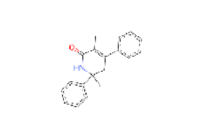 CC1=C(c2ccccc2)CC(C)(c2ccccc2)NC1=O